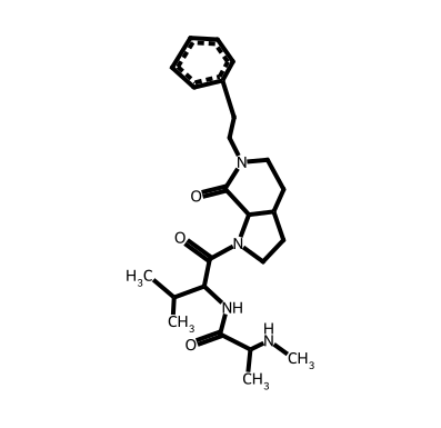 CNC(C)C(=O)NC(C(=O)N1CCC2CCN(CCc3ccccc3)C(=O)C21)C(C)C